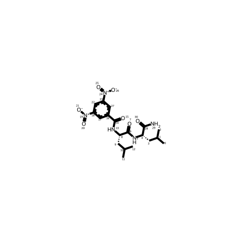 CC(C)C[C@H](NC(=O)[C@H](CC(C)C)NC(=O)c1cc([N+](=O)[O-])cc([N+](=O)[O-])c1)C(N)=O